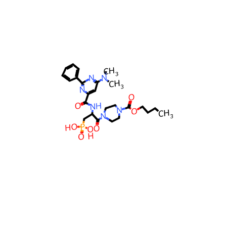 CCCCOC(=O)N1CCN(C(=O)C(CP(=O)(O)O)NC(=O)c2cc(N(C)C)nc(-c3ccccc3)n2)CC1